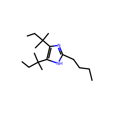 CCCCc1nc(C(C)(C)CC)c(C(C)(C)CC)[nH]1